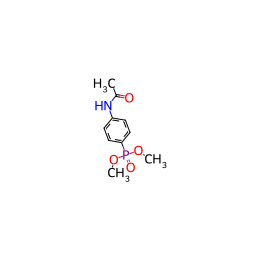 COP(=O)(OC)c1ccc(NC(C)=O)cc1